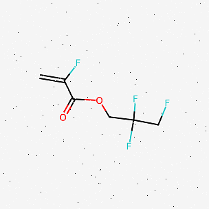 C=C(F)C(=O)OCC(F)(F)CF